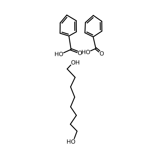 O=C(O)c1ccccc1.O=C(O)c1ccccc1.OCCCCCCCCO